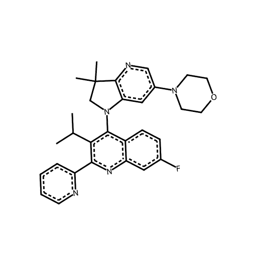 CC(C)c1c(-c2ccccn2)nc2cc(F)ccc2c1N1CC(C)(C)c2ncc(N3CCOCC3)cc21